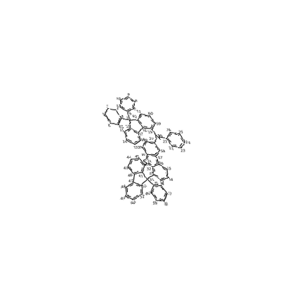 C1=CCCC(C2(c3ccccc3)c3ccccc3-c3c(N(c4ccccc4)c4ccc5sc6c(C7(c8ccccc8)c8ccccc8-c8ccccc87)cccc6c5c4)cccc32)=C1